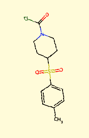 Cc1ccc(S(=O)(=O)C2CCN(C(=O)Cl)CC2)cc1